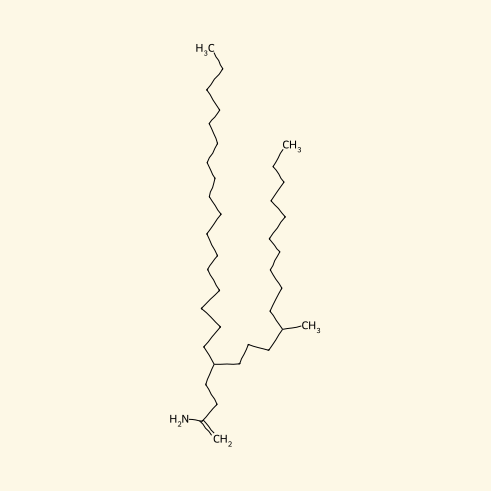 C=C(N)CCC(CCCCCCCCCCCCCCCCC)CCCC(C)CCCCCCCCCC